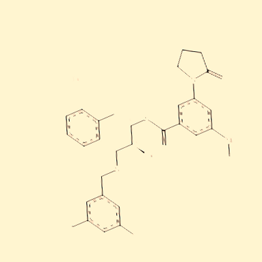 CCNc1cc(C(=O)N[C@@H](Cc2ccccc2)[C@@H](O)CNCc2cc(Cl)cc(Cl)c2)cc(N2CCCC2=O)c1.Cl